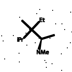 CCC(C)(C(C)C)[C@@H](C)NC